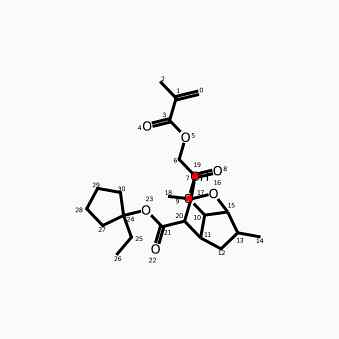 C=C(C)C(=O)OCC(=O)OC1C2CC(C)C1OC(C)(O)C2C(=O)OC1(CC)CCCC1